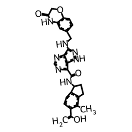 C=C(O)c1ccc2c(c1C)CCC2NC(=O)c1ncnc2c(NCc3ccc4c(c3)NC(=O)CO4)n[nH]c12